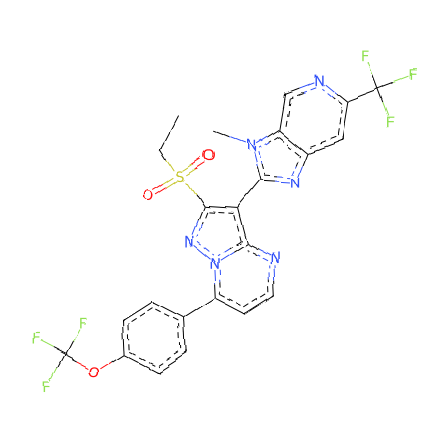 CCS(=O)(=O)c1nn2c(-c3ccc(OC(F)(F)F)cc3)ccnc2c1-c1nc2cc(C(F)(F)F)ncc2n1C